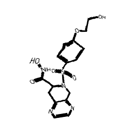 O=C(NO)C1Cc2nccnc2CN1S(=O)(=O)c1ccc(OCCO)cc1